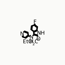 CCOC(=O)Oc1[nH]c2cc(F)ccc2c1Nc1ccncc1